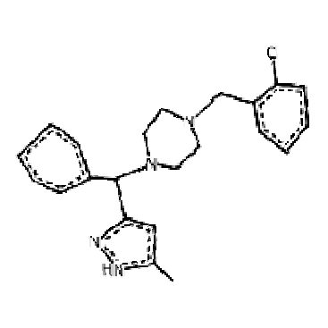 Cc1cc(C(c2ccccc2)N2CCN(Cc3ccccc3Cl)CC2)n[nH]1